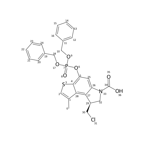 Cc1csc2c(OP(=O)(OCc3ccccc3)OCc3ccccc3)cc3c(c12)[C@H](CCl)CN3C(=O)O